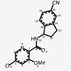 COc1cc(Cl)cnc1C(=O)NC1CCc2cc(C#N)ccc21